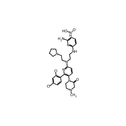 CN1CCN(c2ccc(N(CCNc3ccc([NH+]([O-])O)c(N)n3)CCN3CCCC3)nc2-c2ccc(Cl)cc2Cl)C(=O)C1